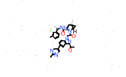 CC(=O)c1nn(CC(=O)N2[C@H](C(=O)N[C@@H](C)c3cccc(C)c3F)C[C@@]3(C)C[C@@H]23)c2ccc(-c3cnc(C)nc3)cc12